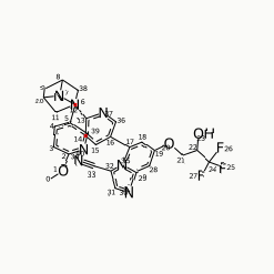 COc1ccc(CN2C3CC2CN(c2ccc(-c4cc(OCC(O)C(F)(F)F)cc5ncc(C#N)n45)cn2)C3)cn1